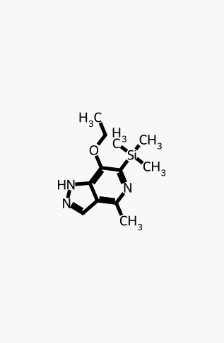 CCOc1c([Si](C)(C)C)nc(C)c2cn[nH]c12